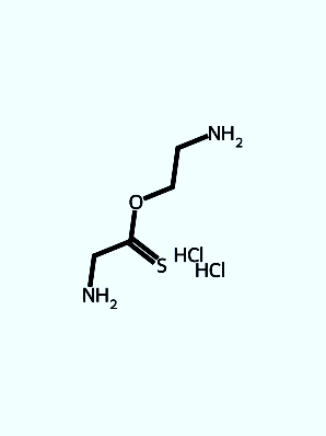 Cl.Cl.NCCOC(=S)CN